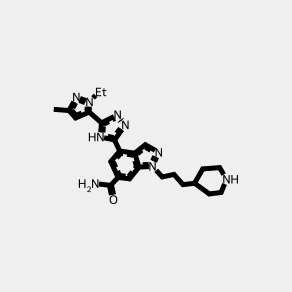 CCn1nc(C)cc1-c1nnc(-c2cc(C(N)=O)cc3c2cnn3CCCC2CCNCC2)[nH]1